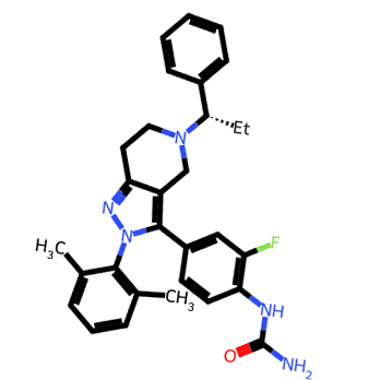 CC[C@@H](c1ccccc1)N1CCc2nn(-c3c(C)cccc3C)c(-c3ccc(NC(N)=O)c(F)c3)c2C1